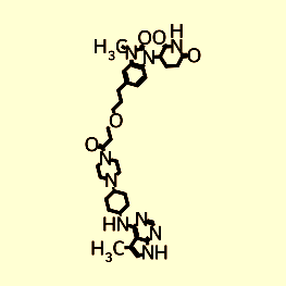 Cc1c[nH]c2ncnc(N[C@H]3CC[C@H](N4CCN(C(=O)CCOCCCc5ccc6c(c5)n(C)c(=O)n6C5CCC(=O)NC5=O)CC4)CC3)c12